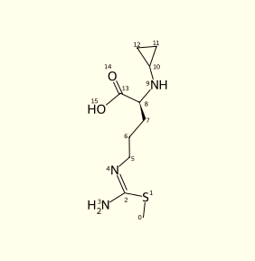 CSC(N)=NCCC[C@H](NC1CC1)C(=O)O